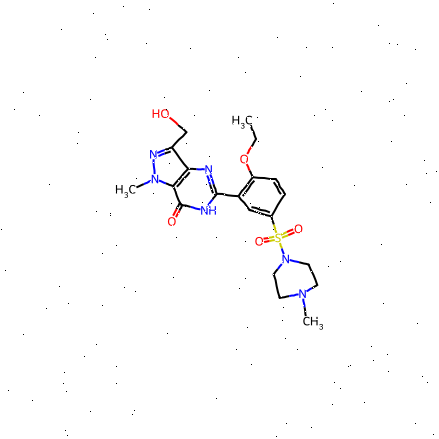 CCOc1ccc(S(=O)(=O)N2CCN(C)CC2)cc1-c1nc2c(CO)nn(C)c2c(=O)[nH]1